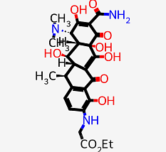 CCOC(=O)CNc1ccc2c(c1O)C(=O)C1=C(O)[C@@]3(O)C(=O)C(C(N)=O)=C(O)[C@@H](N(C)C)[C@H]3[C@H](O)[C@H]1[C@@H]2C